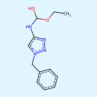 CCOC(O)Nc1cn(Cc2ccccc2)nn1